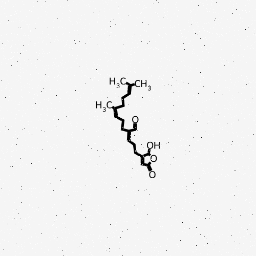 CC(C)=CCCC(C)=CCCC(C=O)=CCCC1=CC(=O)OC1O